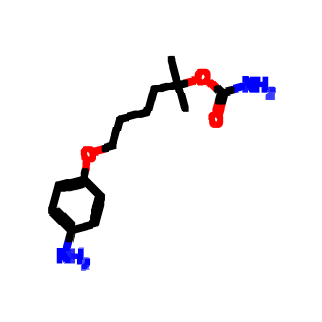 CC(C)(CCCCOc1ccc(N)cc1)OC(N)=O